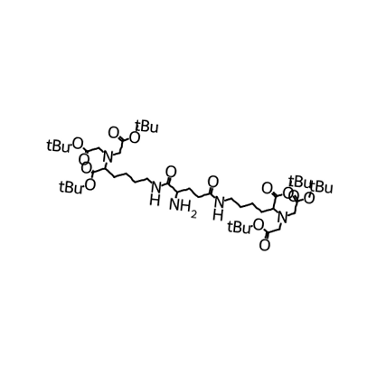 CC(C)(C)OC(=O)CN(CC(=O)OC(C)(C)C)C(CCCCNC(=O)CCC(N)C(=O)NCCCCC(C(=O)OC(C)(C)C)N(CC(=O)OC(C)(C)C)CC(=O)OC(C)(C)C)C(=O)OC(C)(C)C